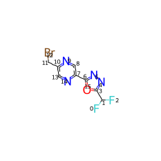 FC(F)c1nnc(-c2cnc(CBr)cn2)o1